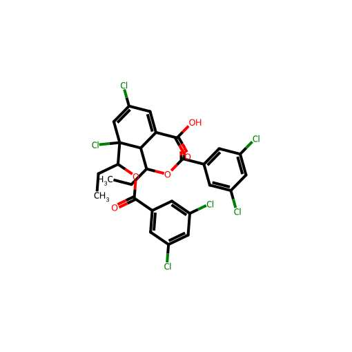 CCC(OC(=O)c1cc(Cl)cc(Cl)c1)C1C(C(=O)O)=CC(Cl)=CC1(Cl)C(CC)OC(=O)c1cc(Cl)cc(Cl)c1